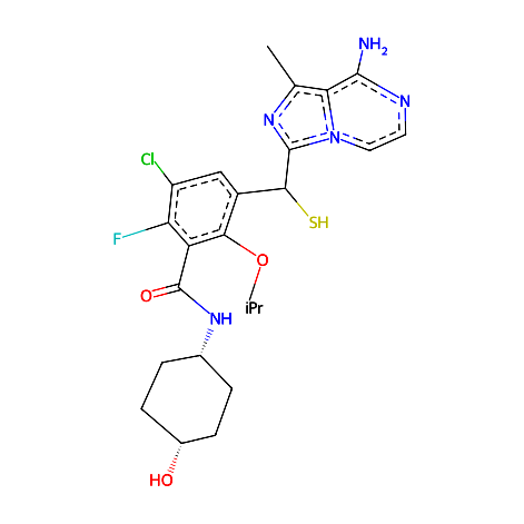 Cc1nc(C(S)c2cc(Cl)c(F)c(C(=O)N[C@H]3CC[C@@H](O)CC3)c2OC(C)C)n2ccnc(N)c12